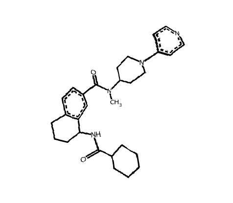 CN(C(=O)c1ccc2c(c1)C(NC(=O)C1CCCCC1)CCC2)C1CCN(c2ccncc2)CC1